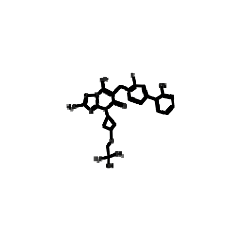 CCCc1c(Cc2ccc(-c3ccccc3C#N)cc2F)c(=O)n(C2CC(OCC(C)(C)O)C2)c2nc(C)nn12